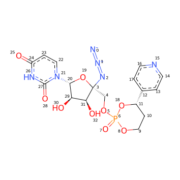 [N-]=[N+]=N[C@]1(COP2(=O)OCC[C@@H](c3ccncc3)O2)O[C@@H](n2ccc(=O)[nH]c2=O)[C@H](O)[C@@H]1O